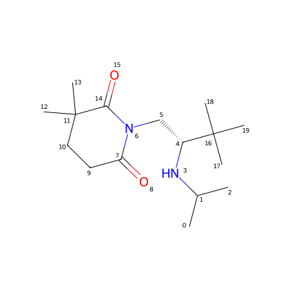 CC(C)N[C@H](CN1C(=O)CCC(C)(C)C1=O)C(C)(C)C